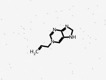 C=CCN1C=NC2=NCNC2=C1